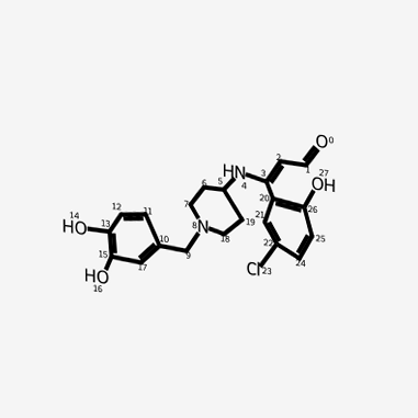 O=C/C=C(/NC1CCN(Cc2ccc(O)c(O)c2)CC1)c1cc(Cl)ccc1O